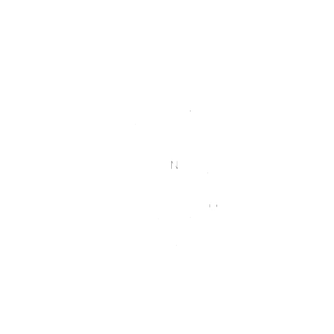 CC(=O)N(CC1(C)CC1)C(C(C)(C)C)C(C)(C)C